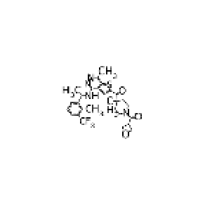 Cc1c([C@@H](C)Nc2nnc(C)c3sc(C(=O)C4(C)CCN(C(=O)C5COC5)CC4)cc23)cccc1C(F)(F)F